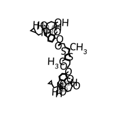 Cc1c(CC(=O)Oc2ccc3c4c2O[C@H]2C(=O)CC[C@@]5(O)[C@@H](C3)N(CC3CC3)CC[C@]425)sc2c(C)c(CC(=O)Oc3ccc4c5c3O[C@H]3C(O)CC[C@@]6(O)[C@@H](C4)N(CC4CC4)CC[C@]536)sc12